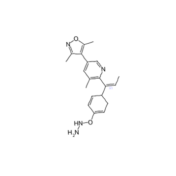 C/C=C(\c1ncc(-c2c(C)noc2C)cc1C)C1C=CC(ONN)=CC1